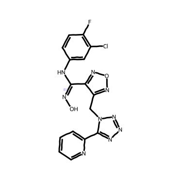 O/N=C(/Nc1ccc(F)c(Cl)c1)c1nonc1Cn1nnnc1-c1ccccn1